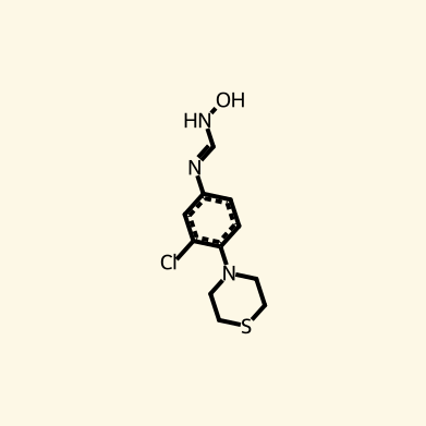 ONC=Nc1ccc(N2CCSCC2)c(Cl)c1